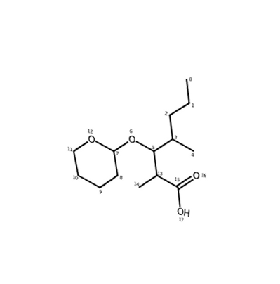 CCCC(C)C(OC1CCCCO1)C(C)C(=O)O